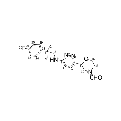 CC(C)(CNc1ccc(C2CN(C=O)CCO2)nn1)c1ccc(F)cc1